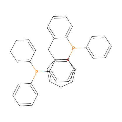 C1=CCC=CC(P(c2ccccc2)c2ccccc2Cc2ccccc2P(C2=CCCC=C2)c2ccccc2)=C1